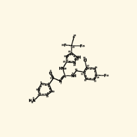 Nc1ccc(C(=O)/N=C(/NCc2ccc(F)cc2Cl)Nc2cc(C(F)(F)F)[nH]n2)cc1